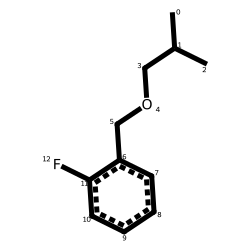 CC(C)COCc1ccccc1F